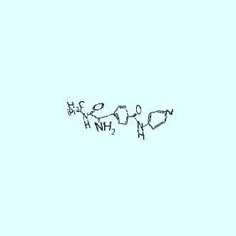 CC(C)C(C)NC(=O)C(N)c1ccc(C(=O)Nc2ccncc2)cc1